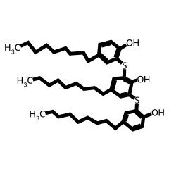 CCCCCCCCCc1ccc(O)c(Sc2cc(CCCCCCCCC)cc(Sc3cc(CCCCCCCCC)ccc3O)c2O)c1